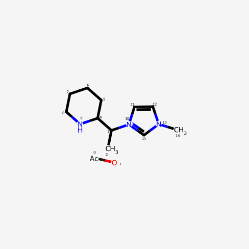 CC(=O)[O-].CC(C1CCCCN1)[n+]1ccn(C)c1